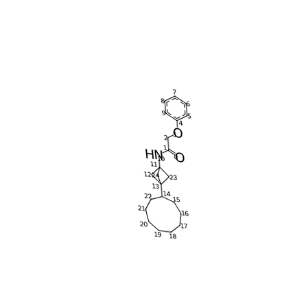 O=C(COc1ccccc1)NC12CC(C3CCCCCCCC3)(C1)C2